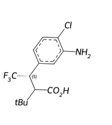 CC(C)(C)C(C(=O)O)[C@@H](c1ccc(Cl)c(N)c1)C(F)(F)F